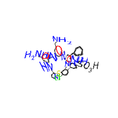 CN1C(=O)[C@H](CCCCN)NC(=O)[C@H](CCCN)NCc2cccnc2Sc2c(Cl)ccc(-c3ccc(S(=O)(=O)O)cc3)c2CNC(=O)[C@@H]1Cc1c[nH]c2ccccc12